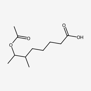 CC(=O)OC(C)C(C)CCCCC(=O)O